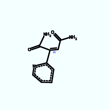 NC(=O)/C=C(\C(N)=O)c1ccccn1